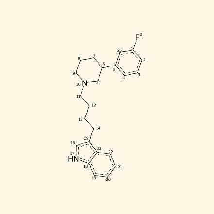 Fc1cccc(C2CCCN(CCCCc3c[nH]c4ccccc34)C2)c1